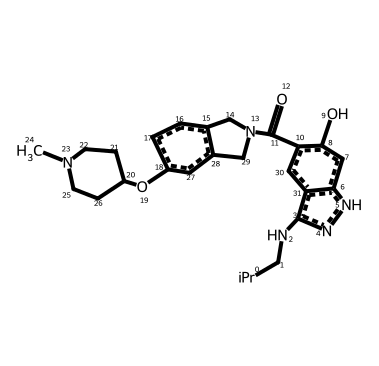 CC(C)CNc1n[nH]c2cc(O)c(C(=O)N3Cc4ccc(OC5CCN(C)CC5)cc4C3)cc12